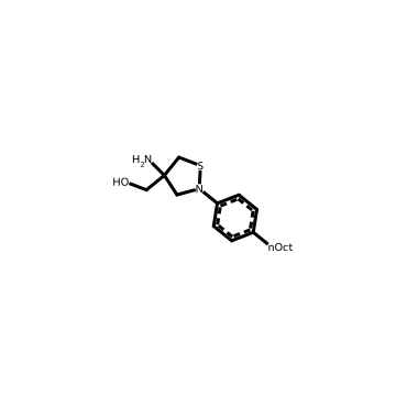 CCCCCCCCc1ccc(N2CC(N)(CO)CS2)cc1